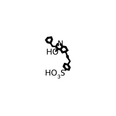 O=S(=O)(O)c1ccc(CC#Cc2ccc3ncc(Cc4ccccc4)c(O)c3c2)cc1